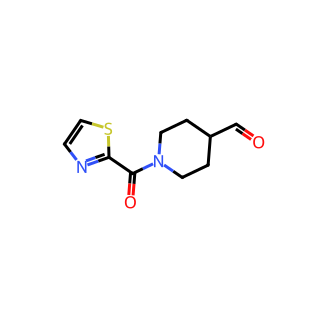 O=CC1CCN(C(=O)c2nccs2)CC1